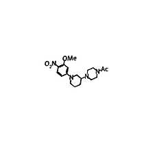 COc1cc(N2CCCC(N3CCN(C(C)=O)CC3)C2)ccc1[N+](=O)[O-]